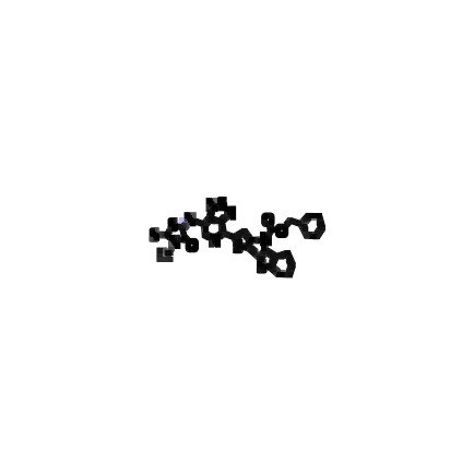 CCN1C(=O)/C(=N\c2cnc(-c3cc4c(s3)c3sc5ccccc5c3n4C(=O)OCc3ccccc3)c3nsnc23)SC1=S